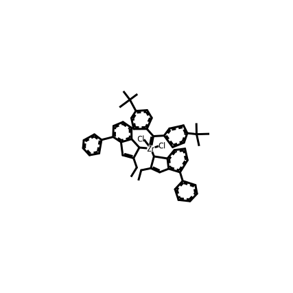 CCC1=Cc2c(-c3ccccc3)cccc2[CH]1[Zr]([Cl])([Cl])(=[C](c1ccc(C(C)(C)C)cc1)c1ccc(C(C)(C)C)cc1)[CH]1C(CC)=Cc2c(-c3ccccc3)cccc21